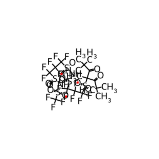 CC(C)(C)C(=O)C(C)(C(=O)C(C)(C)C)S(=O)(=O)C(F)(F)C(F)(F)C(F)(F)S(=O)(=O)NS(=O)(=O)C(F)(F)C(F)(F)C(F)(F)S(=O)(=O)NS(=O)(=O)C(F)(F)F